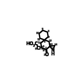 CC(=O)O.O=C1CCC2(CCCCC2)CC12CN2